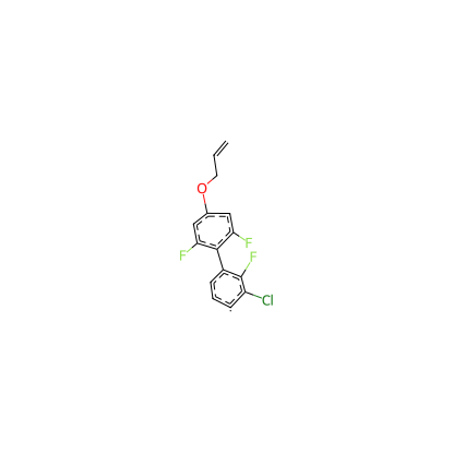 C=CCOc1cc(F)c(-c2cc[c]c(Cl)c2F)c(F)c1